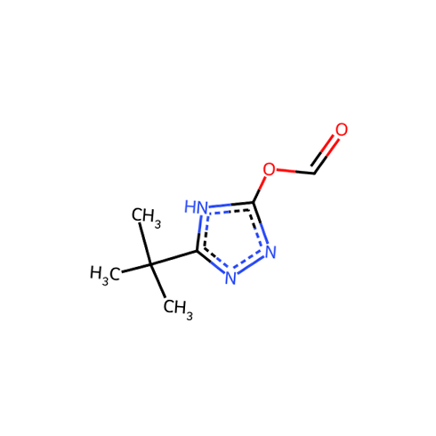 CC(C)(C)c1nnc(OC=O)[nH]1